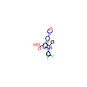 O=C(O)c1cc(N2CCC(N3CCOCC3)CC2)c2c(C3CCC3)nn(-c3ccc(F)c(F)c3)c2n1